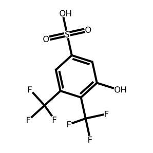 O=S(=O)(O)c1cc(O)c(C(F)(F)F)c(C(F)(F)F)c1